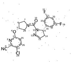 N#Cc1nc(O[C@@H]2CCN(C(=O)N3N=CC[C@H]3c3cc(F)cc(F)c3)C2)ccc1Cl